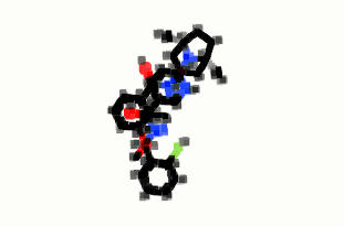 COc1cccc(C(=O)N[C@H]2C[C@H]3CC[C@@H](C2)N3c2ccc(C(=O)NCc3ccccc3F)cn2)c1C